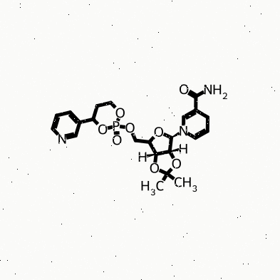 CC1(C)O[C@@H]2[C@H](O1)C(COP1(=O)OCCC(c3cccnc3)O1)O[C@H]2N1C=CCC(C(N)=O)=C1